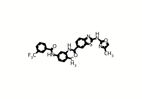 Cc1coc(Nc2nc3ccc(C(=O)Nc4cc(NC(=O)c5cccc(C(F)(F)F)c5)ccc4C)cc3s2)n1